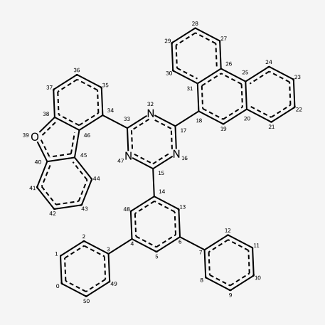 c1ccc(-c2cc(-c3ccccc3)cc(-c3nc(-c4cc5ccccc5c5ccccc45)nc(-c4cccc5oc6ccccc6c45)n3)c2)cc1